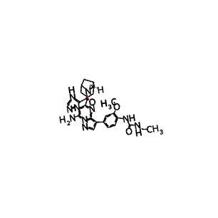 CCNC(=O)Nc1ccc(-c2cnn3c(N)cc(C4CC5CC[C@@H](C4)N5C(=O)c4nnc[nH]4)nc23)cc1OC